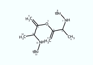 C=C(OC(=C)C(C)NC(C)(C)C)C(C)NC(C)(C)C